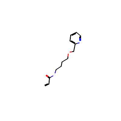 C=CC(=O)NCCCCOCc1ccccn1